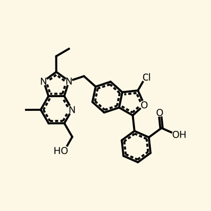 CCc1nc2c(C)cc(CO)nc2n1Cc1ccc2c(-c3ccccc3C(=O)O)oc(Cl)c2c1